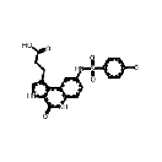 O=C(O)CCc1c[nH]c2c(=O)[nH]c3ccc(NS(=O)(=O)c4ccc(Cl)cc4)cc3c12